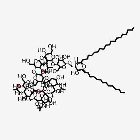 CCCCCCCCCCCCC/C=C/[C@@H](O)[C@H](CO[C@@H]1OC(CO)[C@@H](O[C@@H]2OC(CO)[C@H](O)[C@H](O[C@@H]3OC(CO)[C@@H](O[C@@H]4OC(CO)[C@H](O)[C@H](O[C@]5(C(=O)O)CC(O)[C@@H](NC(C)=O)C([C@H](O)[C@@H](CO)O[C@]6(C(=O)O)CC(O)[C@@H](NC(C)=O)C([C@H](O)[C@@H](CO)O[C@]7(C(=O)O)CC(O)[C@@H](NC(C)=O)C([C@H](O)[C@H](O)CO)O7)O6)O5)C4O)[C@H](O)C3NC(C)=O)C2O)[C@H](O)C1O)NC(=O)CCCCCCCCCCCCCCCCCCC